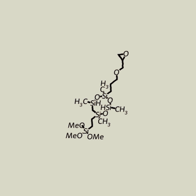 CO[Si](CC[Si]1(C)C[SiH](C)O[Si](C)(CCCOCC2CO2)O[SiH](C)O1)(OC)OC